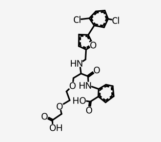 O=C(O)COCCOCC(NCc1ccc(-c2cc(Cl)ccc2Cl)o1)C(=O)Nc1ccccc1C(=O)O